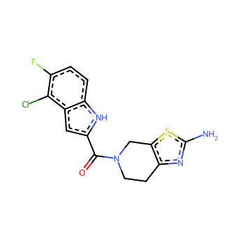 Nc1nc2c(s1)CN(C(=O)c1cc3c(Cl)c(F)ccc3[nH]1)CC2